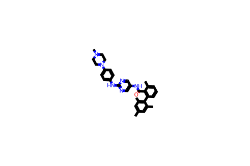 Cc1cc(C)c(-c2[c]ccc(C)c2C(=O)Nc2cnc(Nc3ccc(N4CCN(C)CC4)cc3)nc2)c(C)c1